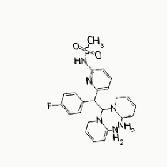 CS(=O)(=O)Nc1cccc(C(c2ccc(F)cc2)C(N2CC=CC=C2N)N2CC=CC=C2N)n1